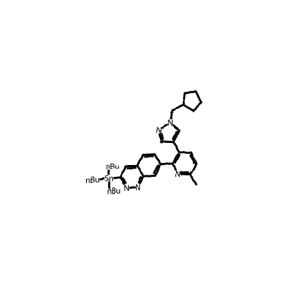 CCC[CH2][Sn]([CH2]CCC)([CH2]CCC)[c]1cc2ccc(-c3nc(C)ccc3-c3cnn(CC4CCCC4)c3)cc2nn1